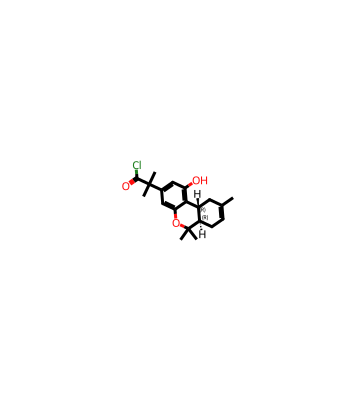 CC1=CC[C@@H]2[C@@H](C1)c1c(O)cc(C(C)(C)C(=O)Cl)cc1OC2(C)C